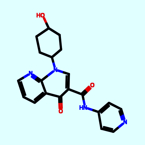 O=C(Nc1ccncc1)c1cn(C2CCC(O)CC2)c2ncccc2c1=O